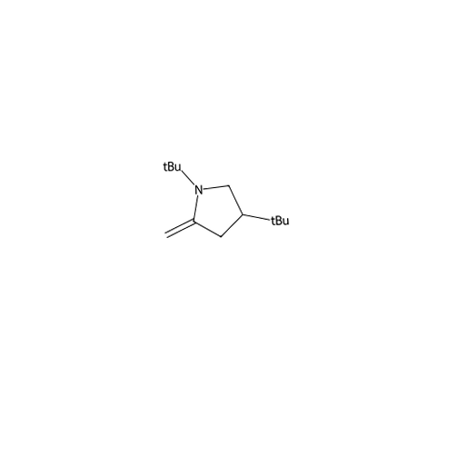 C=C1CC(C(C)(C)C)CN1C(C)(C)C